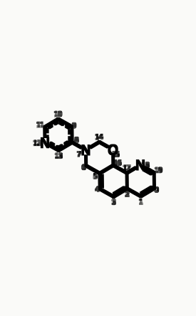 C1=CC2=CC=C3CN(c4cccnc4)COC3C2N=C1